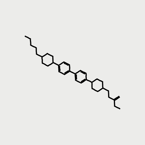 C=C(CC)CCC1CCC(c2ccc(-c3ccc(C4CCC(CCCCC)CC4)cc3)cc2)CC1